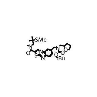 CSC(C)(C)CN(C)C(=O)c1cn2c(nc3ccc(CN(CC4CCCO4)C(=O)OC(C)(C)C)cc32)s1